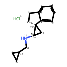 Cl.c1ccc2c(c1)CC[C@@]21C[C@H]1NCC1CC1